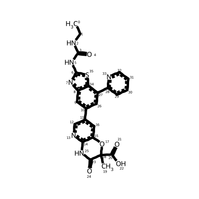 CCNC(=O)Nc1nc2cc(-c3cnc4c(c3)OC(C)(C(=O)O)C(=O)N4)cc(-c3ccccn3)c2s1